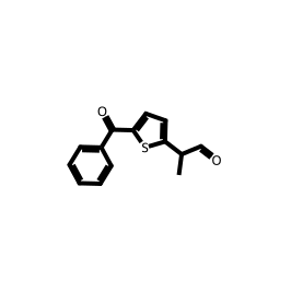 CC(C=O)c1ccc(C(=O)c2ccccc2)s1